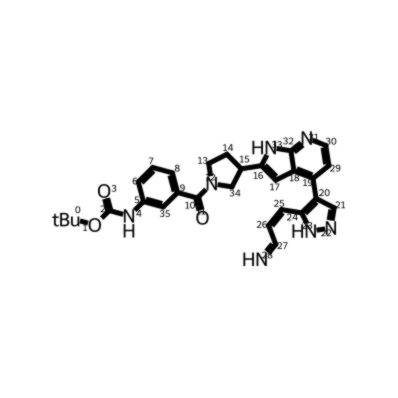 CC(C)(C)OC(=O)Nc1cccc(C(=O)N2CCC(c3cc4c(-c5cn[nH]c5/C=C\C=N)ccnc4[nH]3)C2)c1